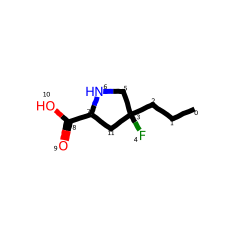 CCCC1(F)CNC(C(=O)O)C1